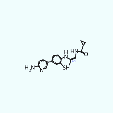 C/C(=C/NC(=O)C1CC1)Nc1ccc(-c2ccc(N)nc2)cc1S